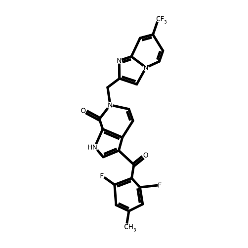 Cc1cc(F)c(C(=O)c2c[nH]c3c(=O)n(Cc4cn5ccc(C(F)(F)F)cc5n4)ccc23)c(F)c1